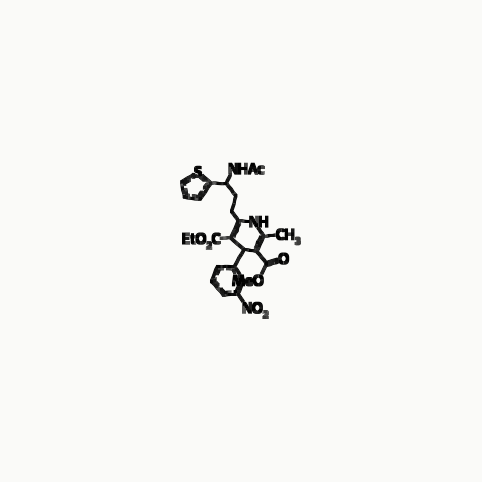 CCOC(=O)C1=C(CCC(NC(C)=O)c2cccs2)NC(C)=C(C(=O)OC)C1c1cccc([N+](=O)[O-])c1